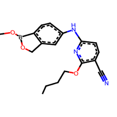 CCCCOc1nc(Nc2ccc3c(c2)COB3OC)ccc1C#N